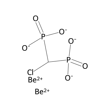 O=P([O-])([O-])C(Cl)P(=O)([O-])[O-].[Be+2].[Be+2]